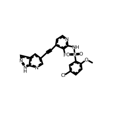 COc1ccc(Cl)cc1S(=O)(=O)Nc1nccc(C#Cc2cnc3[nH]ncc3c2)c1F